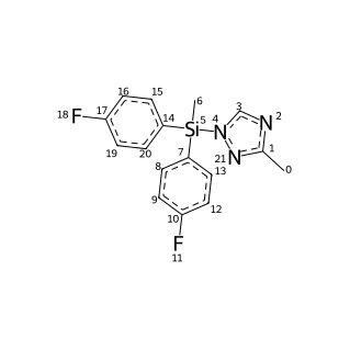 Cc1ncn([Si](C)(c2ccc(F)cc2)c2ccc(F)cc2)n1